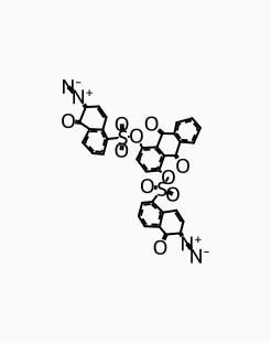 [N-]=[N+]=C1C=Cc2c(cccc2S(=O)(=O)Oc2ccc(OS(=O)(=O)c3cccc4c3C=CC(=[N+]=[N-])C4=O)c3c2C(=O)c2ccccc2C3=O)C1=O